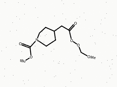 COCOOC(=O)CC1CCN(C(=O)OC(C)(C)C)CC1